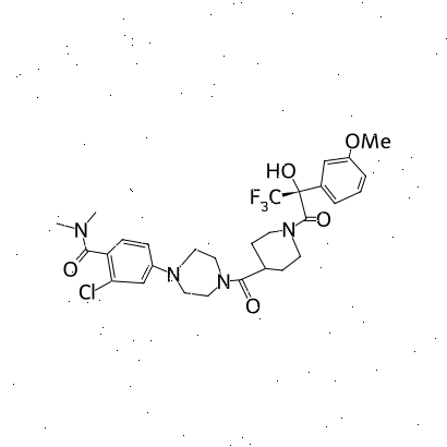 COc1cccc([C@@](O)(C(=O)N2CCC(C(=O)N3CCN(c4ccc(C(=O)N(C)C)c(Cl)c4)CC3)CC2)C(F)(F)F)c1